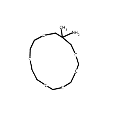 CC1(N)CCCCCCCCCCCCCCC1